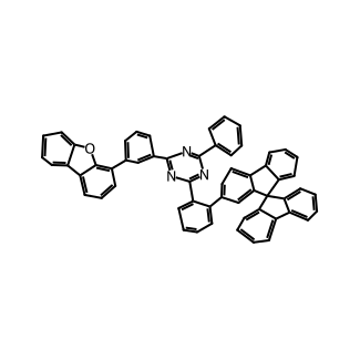 c1ccc(-c2nc(-c3cccc(-c4cccc5c4oc4ccccc45)c3)nc(-c3ccccc3-c3ccc4c(c3)C3(c5ccccc5-c5ccccc53)c3ccccc3-4)n2)cc1